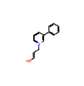 OC=CC[n+]1cccc(-c2ccccc2)c1